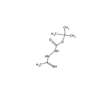 CC(=N)NNC(=O)OC(C)(C)C